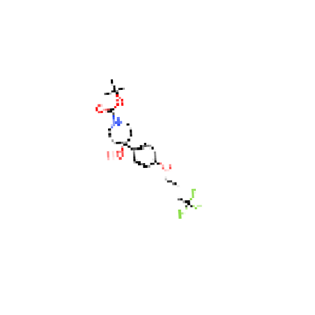 CC(C)(C)OC(=O)N1CCC(O)(c2ccc(OCCCC(F)(F)F)cc2)CC1